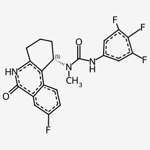 CN(C(=O)Nc1cc(F)c(F)c(F)c1)[C@H]1CCCc2[nH]c(=O)c3cc(F)ccc3c21